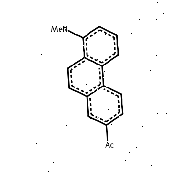 CNc1cccc2c1ccc1cc(C(C)=O)ccc12